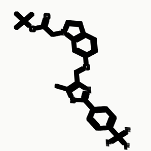 Cc1sc(-c2ccc(C(F)(F)F)cc2)nc1COc1ccc2ccn(CC(=O)OC(C)(C)C)c2c1